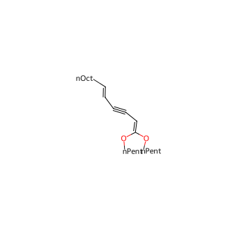 CCCCCCCC/C=C/C#CC=C(OCCCCC)OCCCCC